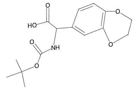 CC(C)(C)OC(=O)NC(C(=O)O)c1ccc2c(c1)OCCO2